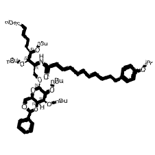 CCCCCCCCCCCCCC[C@@H](OCCCC)[C@@H](OCCCC)[C@H](CO[C@H]1OC2COC(c3ccccc3)O[C@@H]2[C@H](OCCCC)C1OCCCC)NC(=O)CCCCCCCCCCc1ccc(OC(C)C)cc1